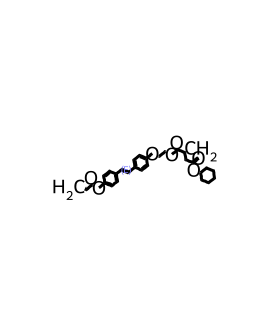 C=CC(=O)Oc1ccc(/C=C/c2ccc(OCCOC(=O)C(=C)CC(=O)OC3CCCCC3)cc2)cc1